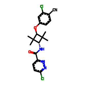 CC1(C)[C@H](NC(=O)c2ccc(Cl)nn2)C(C)(C)[C@H]1Oc1ccc(C#N)c(Cl)c1